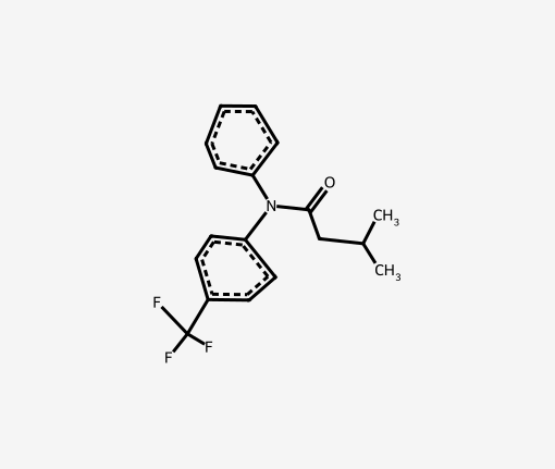 CC(C)CC(=O)N(c1ccccc1)c1ccc(C(F)(F)F)cc1